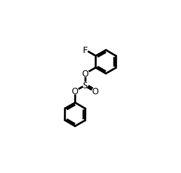 O=S(Oc1ccccc1)Oc1ccccc1F